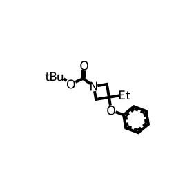 CCC1(Oc2ccccc2)CN(C(=O)OC(C)(C)C)C1